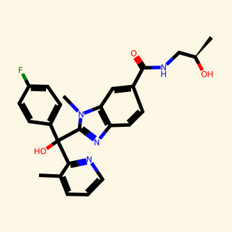 Cc1cccnc1C(O)(c1ccc(F)cc1)c1nc2ccc(C(=O)NC[C@@H](C)O)cc2n1C